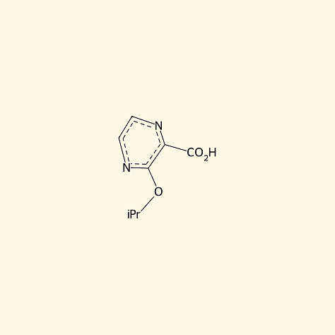 CC(C)Oc1nccnc1C(=O)O